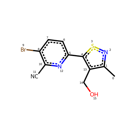 Cc1nsc(-c2ccc(Br)c(C#N)n2)c1CO